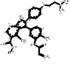 C=CC(=O)Nc1cc(-c2c(-c3ccc(OCCN(C)C)cc3)[nH]c3ncc(C(=O)OC(C)C)c(C)c23)ccc1C